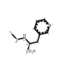 O=C(O)[C@H](Cc1cccnc1)NSI